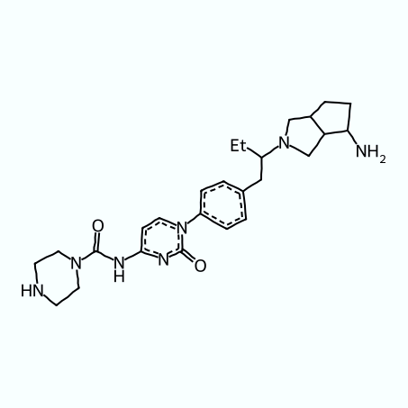 CCC(Cc1ccc(-n2ccc(NC(=O)N3CCNCC3)nc2=O)cc1)N1CC2CCC(N)C2C1